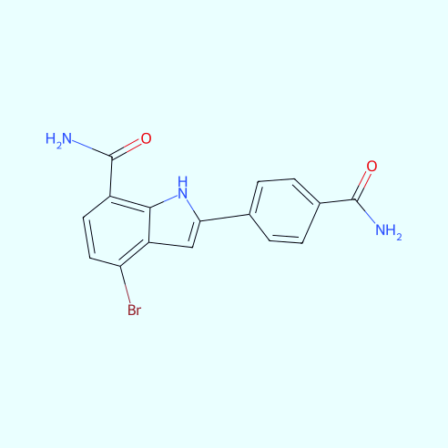 NC(=O)c1ccc(-c2cc3c(Br)ccc(C(N)=O)c3[nH]2)cc1